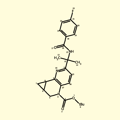 CC(C)(C)OC(=O)N1CC2CC2c2nc(C(C)(C)NC(=O)c3ccc(F)cc3)ccc21